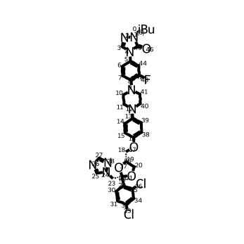 CC[C@H](C)n1ncn(-c2ccc(N3CCN(c4ccc(OC[C@@H]5CO[C@@](Cn6cncn6)(c6ccc(Cl)cc6Cl)O5)cc4)CC3)c(F)c2)c1=O